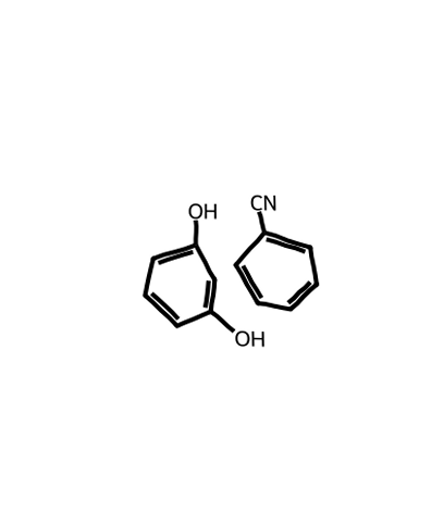 N#Cc1ccccc1.Oc1cccc(O)c1